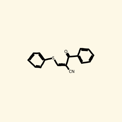 N#CC(=CSc1ccccc1)C(=O)c1ccccc1